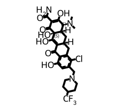 CN(C)[C@@H]1C(O)=C(C(N)=O)C(=O)[C@@]2(O)C(O)=C3C(=O)c4c(O)cc(CN5CCC(C(F)(F)F)CC5)c(Cl)c4C[C@H]3C[C@@H]12